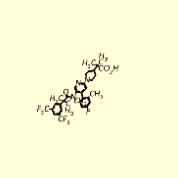 Cc1cc(F)ccc1-c1cc(N2CCC(C(C)(C)C(=O)O)CC2)ncc1N(C)C(=O)C(C)(C)c1cc(C(F)(F)F)cc(C(F)(F)F)c1